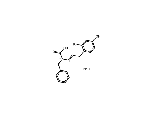 O=C(O)[C@H](Cc1ccccc1)N=CCc1ccc(O)cc1O.[NaH]